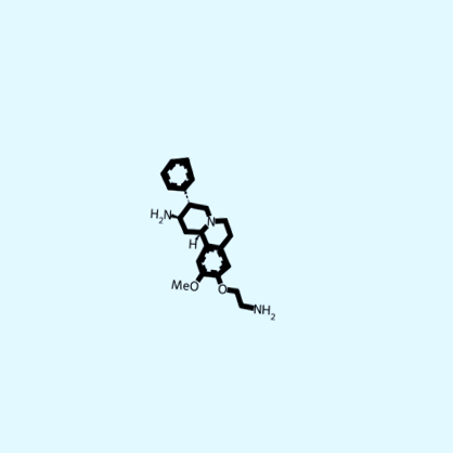 COc1cc2c(cc1OCCN)CCN1C[C@@H](c3ccccc3)[C@H](N)C[C@H]21